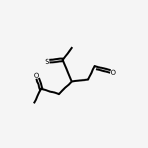 CC(=O)CC(CC=O)C(C)=S